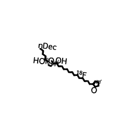 CCCCCCCCCCCCCC[C@@H](O)[C@H]1CC[C@H]([C@H](O)CCCCCCCCCC([18F])CCCC2=C[C@H](C)CC2=O)O1